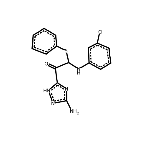 Nc1n[nH]c(C(=O)C(Nc2cccc(Cl)c2)Sc2ccccc2)n1